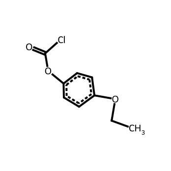 CCOc1ccc(OC(=O)Cl)cc1